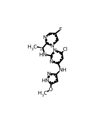 COc1cc(Nc2cc(Cl)nc(N[C@@H](C)c3ncc(F)cn3)n2)n[nH]1